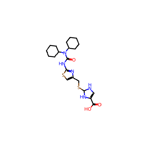 O=C(O)C1=CNC(SCc2csc(NC(=O)N(C3CCCCC3)C3CCCCC3)n2)N1